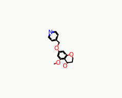 COc1cc(OCc2ccncc2)cc2c1C(=O)CCO2